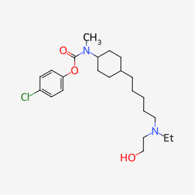 CCN(CCO)CCCCCC1CCC(N(C)C(=O)Oc2ccc(Cl)cc2)CC1